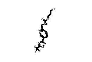 O=C(NCc1ccc(-c2noc(C(F)(F)F)n2)cn1)OCCCCl